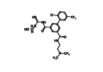 CN(C)CCNC(=O)c1cc(C(=O)NC(=N)N)cc(-c2cc(C(F)(F)F)ccc2Cl)c1.Cl.Cl